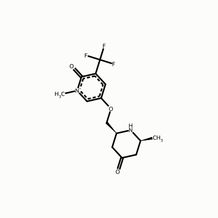 C[C@H]1CC(=O)C[C@@H](COc2cc(C(F)(F)F)c(=O)n(C)c2)N1